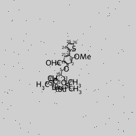 COc1cc(OCC(CO[Si](C)(C)C(C)(C)C)CO[Si](C)(C)C(C)(C)C)c(C=O)cc1-c1cccs1